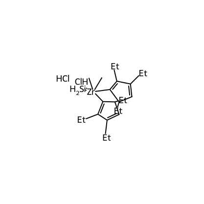 CCC1=CC(CC)[C]([Zr]([CH3])([CH3])(=[SiH2])[C]2=C(CC)C(CC)=CC2CC)=C1CC.Cl.Cl